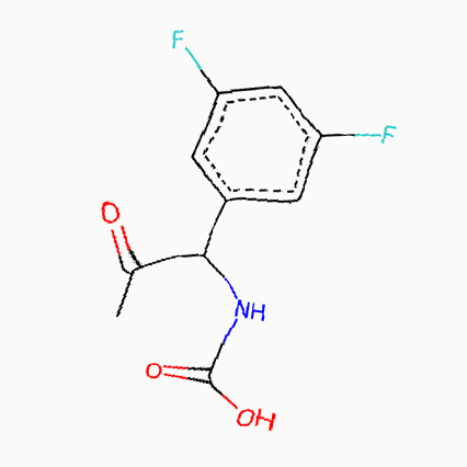 CC(=O)C(NC(=O)O)c1cc(F)cc(F)c1